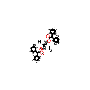 O=C(O[SiH2]CC[SiH2]OC(=O)C(c1ccccc1)c1ccccc1)C(c1ccccc1)c1ccccc1